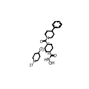 CCN1CCC(O[C@H]2C[C@H](C(=O)NO)CC[C@@H]2C(=O)N2CCC(c3ccccc3)CC2)CC1